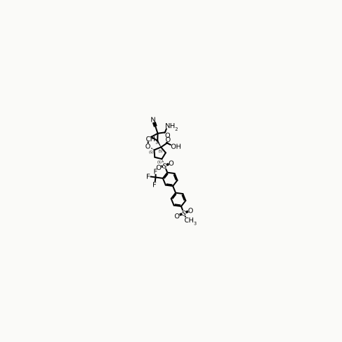 CO[C@H]1C[C@@H](S(=O)(=O)c2ccc(-c3ccc(S(C)(=O)=O)cc3)cc2C(F)(F)F)C[C@]1(C(=O)O)C1CC1(C#N)C(N)=O